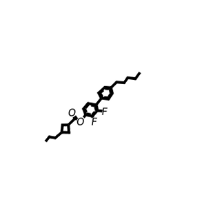 CCCCCc1ccc(-c2ccc(OC(=O)C3CC(CCC)C3)c(F)c2F)cc1